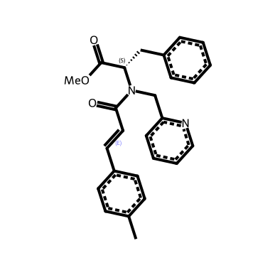 COC(=O)[C@H](Cc1ccccc1)N(Cc1ccccn1)C(=O)/C=C/c1ccc(C)cc1